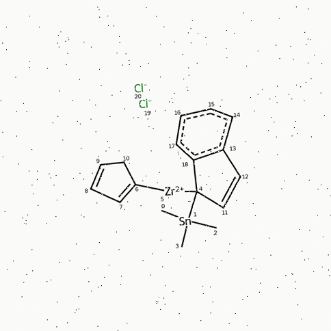 [CH3][Sn]([CH3])([CH3])[C]1([Zr+2][C]2=CC=CC2)C=Cc2ccccc21.[Cl-].[Cl-]